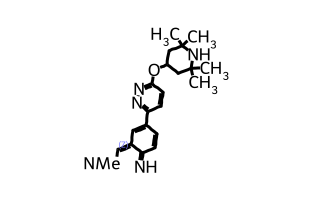 CN/C=C1/C=C(c2ccc(OC3CC(C)(C)NC(C)(C)C3)nn2)C=CC1=N